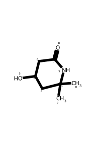 CC1(C)CC(O)CC(=O)N1